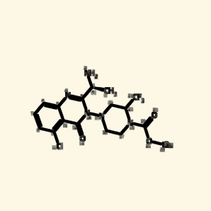 C[C@H](N)c1nc2cccc(Cl)c2c(=O)n1N1CCN(C(=O)OC(C)(C)C)C(C(F)(F)F)C1